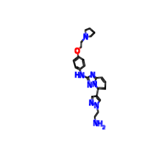 NCCn1cc(-c2cccc3nc(Nc4ccc(OCCN5CCCC5)cc4)nn23)cn1